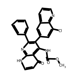 COC(=O)Nc1c(-c2cc(Cl)c3ncccc3c2)c(-c2ccccc2)nc2[nH]ccc(=O)c12